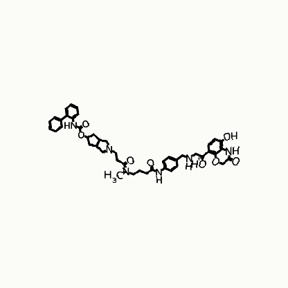 CN(CCCC(=O)Nc1ccc(CNC[C@H](O)c2ccc(O)c3c2OCC(=O)N3)cc1)C(=O)CCN1CC2CC(OC(=O)Nc3ccccc3-c3ccccc3)CC2C1